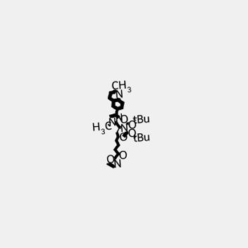 Cc1ccc2cc(-c3cn(C)c([C@H](CCCCCC(=O)c4ncco4)N(C(=O)OC(C)(C)C)C(=O)OC(C)(C)C)n3)ccc2n1